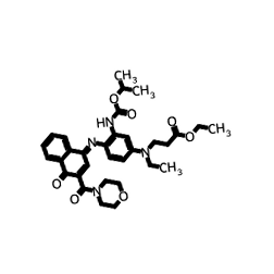 CCOC(=O)CCN(CC)c1ccc(N=C2C=C(C(=O)N3CCOCC3)C(=O)c3ccccc32)c(NC(=O)OC(C)C)c1